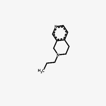 CCCN1CCc2ccncc2C1